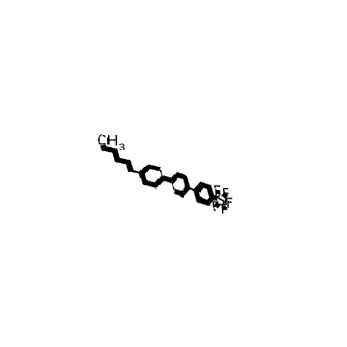 CCCCCC[C@H]1CC[C@H]([C@H]2CC[C@H](c3ccc(S(F)(F)(F)(F)F)cc3)CC2)CC1